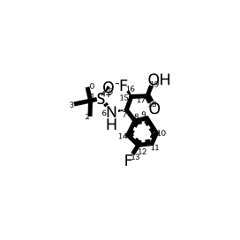 CC(C)(C)[S@@+]([O-])N[C@@H](c1cccc(F)c1)[C@@H](F)C(=O)O